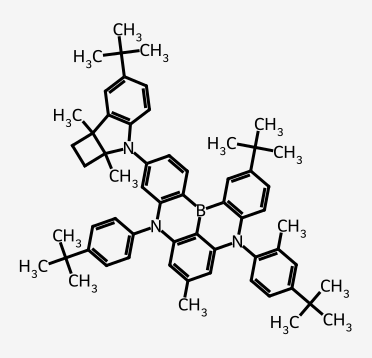 Cc1cc2c3c(c1)N(c1ccc(C(C)(C)C)cc1C)c1ccc(C(C)(C)C)cc1B3c1ccc(N3c4ccc(C(C)(C)C)cc4C4(C)CCC34C)cc1N2c1ccc(C(C)(C)C)cc1